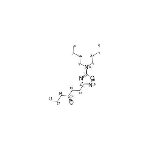 CCCCN(CCCC)c1nc(CCC(=O)CCC)no1